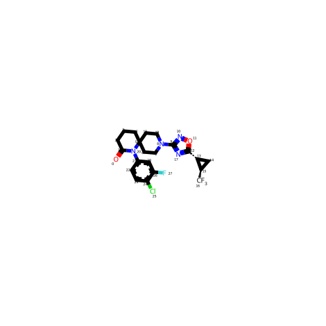 O=C1CCCC2(CCN(c3noc([C@@H]4C[C@H]4C(F)(F)F)n3)CC2)N1c1ccc(Cl)c(F)c1